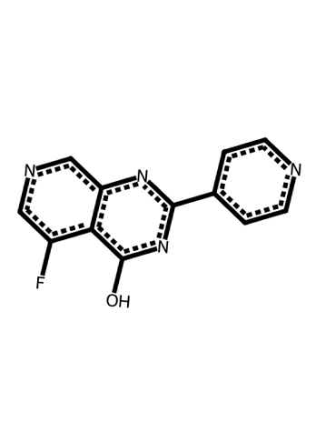 Oc1nc(-c2ccncc2)nc2cncc(F)c12